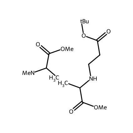 CNC(C)C(=O)OC.COC(=O)C(C)NCCC(=O)OC(C)(C)C